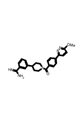 COc1ccc(-c2ccc(C(=O)N3CCC(c4cccc(C(=N)N)c4)CC3)cc2)nn1